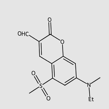 CCN(C)c1cc(S(C)(=O)=O)c2cc(C=O)c(=O)oc2c1